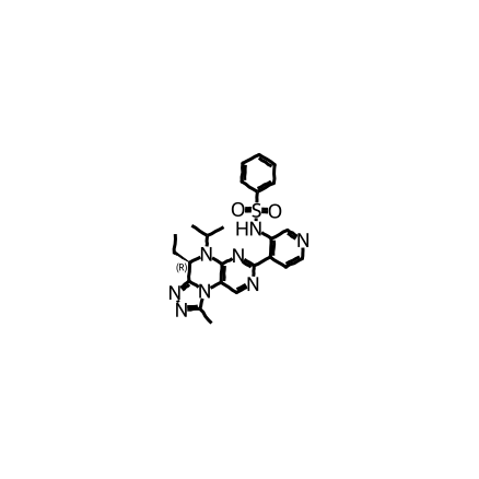 CC[C@@H]1c2nnc(C)n2-c2cnc(-c3ccncc3NS(=O)(=O)c3ccccc3)nc2N1C(C)C